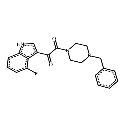 O=C(C(=O)N1CCN(Cc2ccccc2)CC1)c1c[nH]c2cccc(F)c12